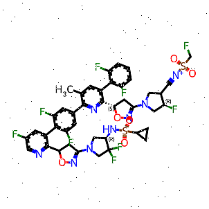 Cc1cc(-c2c(F)cccc2F)c([C@@H]2CC(N3CC(C#[N+]S(=O)(=O)CF)[C@@H](F)C3)=NO2)nc1-c1cc(F)c(-c2cc(F)cnc2C2CC(N3C[C@@H](NS(=O)(=O)C4CC4)C(F)(F)C3)=NO2)c(F)c1